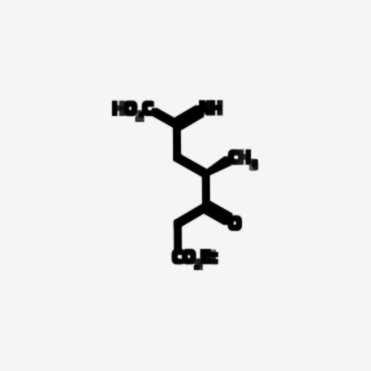 CCOC(=O)CC(=O)[C@H](C)CC(=N)C(=O)O